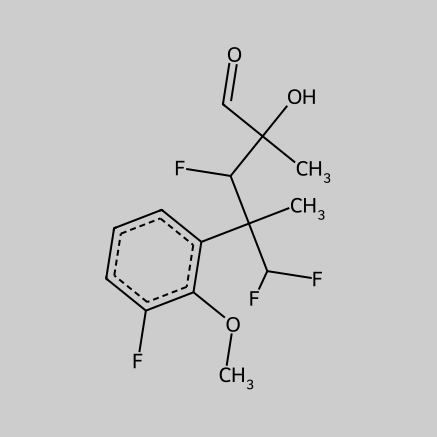 COc1c(F)cccc1C(C)(C(F)F)C(F)C(C)(O)C=O